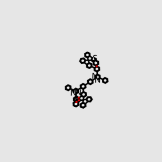 c1ccc(-c2cc(-c3cccc(-c4ccc5c(c4)C4(c6ccccc6-5)c5ccccc5-c5sc6ccccc6c54)c3)nc(-c3ccc(-c4ccc(-c5cc(-c6ccccc6)nc(-c6ccccc6)n5)c(-c5ccc6c(c5)-c5sc7ccccc7c5C65c6ccccc6-c6ccccc65)c4)cc3)n2)cc1